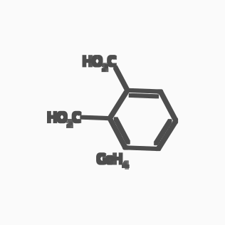 O=C(O)c1ccccc1C(=O)O.[GeH4]